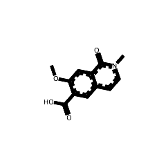 COc1cc2c(=O)n(C)ccc2cc1C(=O)O